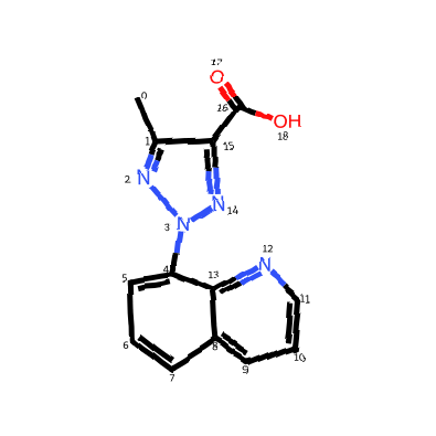 Cc1nn(-c2cccc3cccnc23)nc1C(=O)O